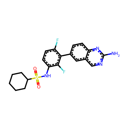 Nc1ncc2cc(-c3c(F)ccc(NS(=O)(=O)C4CCCCC4)c3F)ccc2n1